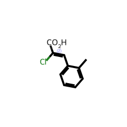 Cc1ccccc1/C=C(\Cl)C(=O)O